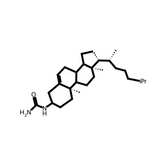 CC(C)CCC[C@@H](C)[C@H]1CCC2C3CC=C4CC(NC(N)=O)CC[C@]4(C)C3CC[C@@]21C